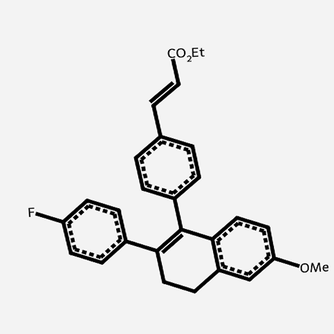 CCOC(=O)C=Cc1ccc(C2=C(c3ccc(F)cc3)CCc3cc(OC)ccc32)cc1